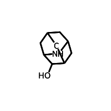 OC1C2CC3CNC1CC(C3)C2